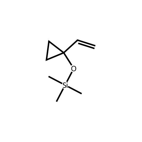 C=CC1(O[Si](C)(C)C)CC1